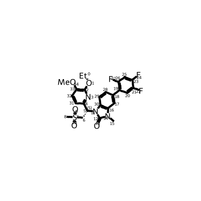 CCOc1nc([C@@H](CS(C)(=O)=O)n2c(=O)n(C)c3cc(-c4cc(F)c(F)cc4F)ccc32)ccc1OC